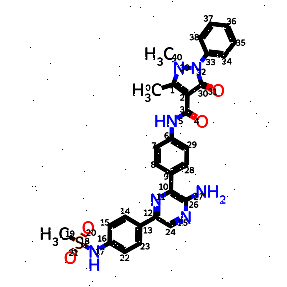 Cc1c(C(=O)Nc2ccc(-c3nc(-c4ccc(NS(C)(=O)=O)cc4)cnc3N)cc2)c(=O)n(-c2ccccc2)n1C